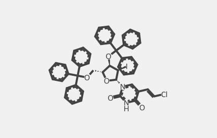 O=c1[nH]c(=O)n([C@@H]2O[C@H](COC(c3ccccc3)(c3ccccc3)c3ccccc3)[C@@H](OC(c3ccccc3)(c3ccccc3)c3ccccc3)[C@H]2I)cc1C=CCl